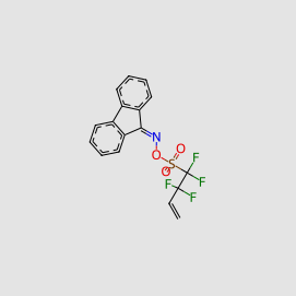 C=CC(F)(F)C(F)(F)S(=O)(=O)ON=C1c2ccccc2-c2ccccc21